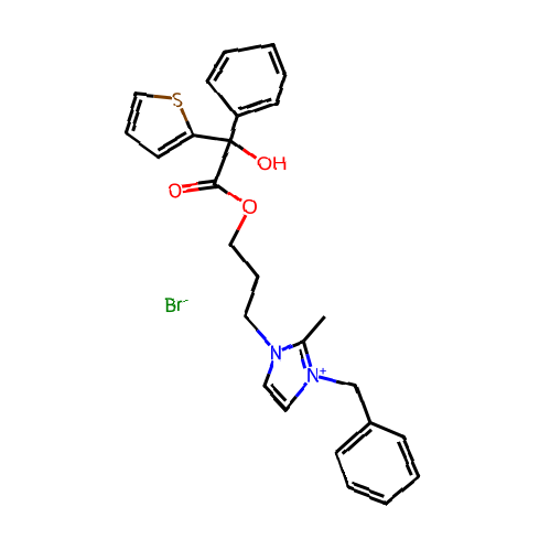 Cc1n(CCCOC(=O)C(O)(c2ccccc2)c2cccs2)cc[n+]1Cc1ccccc1.[Br-]